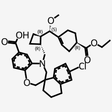 CCOC(=O)[C@H]1CC=C([C@@H](OC)[C@@H]2CC[C@H]2CN2CC3(CCCc4cc(Cl)ccc43)COc3ccc(C(=O)O)cc32)CC1